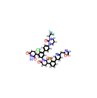 O=C1CCC(c2cc(N3C(=O)CCC(c4cccc(-c5ccc(Cc6ncco6)nc5)c4Cl)C3O)cc(-c3ccc(N4CCCN(CC(F)F)C4=O)cc3)c2Cl)C(=O)N1